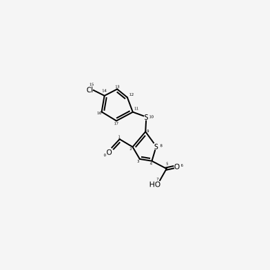 O=Cc1cc(C(=O)O)sc1Sc1ccc(Cl)cc1